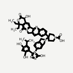 CCC1(CC)OC(=O)[C@@H](O)c2cc3n(c(=O)c21)Cc1cc2cc(C4(N5Cc6ccc(-n7c(O)nnc7-c7cc(C(C)C)c(O)cc7O)cc6C5)CCN(C(=O)O)CC4)ccc2nc1-3